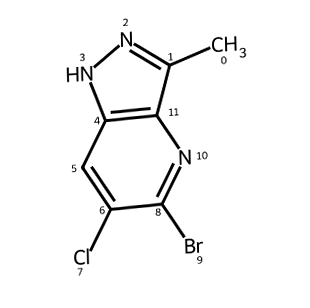 Cc1n[nH]c2cc(Cl)c(Br)nc12